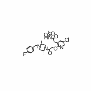 C[C@@H]1CN(Cc2ccc(F)cc2)[C@@H](C)CN1C(=O)COc1ncc(Cl)cc1CC(=O)NS(C)(=O)=O